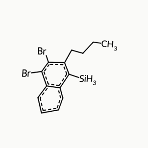 CCCCc1c(Br)c(Br)c2ccccc2c1[SiH3]